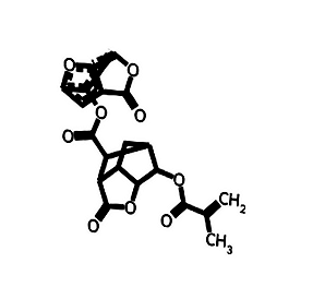 C=C(C)C(=O)OC1C2CC3C1OC(=O)C3C2C(=O)Oc1c2c3oc1cc3C(=O)O2